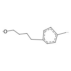 [CH2]c1ccc(CCCC[O])cc1